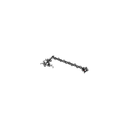 CCCN(CCC)C(=O)C1=Cc2sc(NC(=O)CCCN(C)CCOCCOCCOCCOCCOCCOCCOCCOCCOCCOCCC(=O)Oc3c(F)c(F)cc(F)c3F)cc2N=C(N)C1